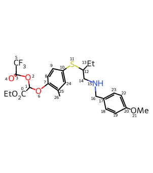 CCOC(=O)C(OC(=O)C(F)(F)F)Oc1ccc(SC(CC)CNCc2ccc(OC)cc2)cc1C